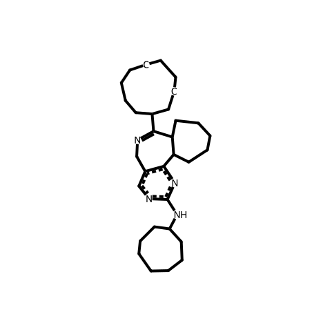 c1nc(NC2CCCCCCC2)nc2c1CN=C(C1CCCCCCCCC1)C1CCCCCC21